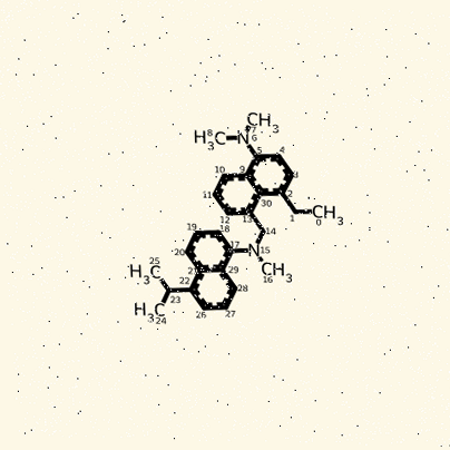 CCc1ccc(N(C)C)c2cccc(CN(C)c3cccc4c(C(C)C)cccc34)c12